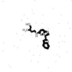 CC(CO)CCNc1ccc2ncc(-c3cc4ccccc4s3)n2n1